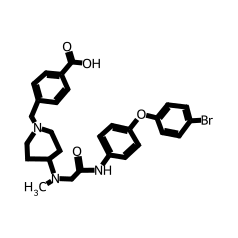 CN(CC(=O)Nc1ccc(Oc2ccc(Br)cc2)cc1)C1CCN(Cc2ccc(C(=O)O)cc2)CC1